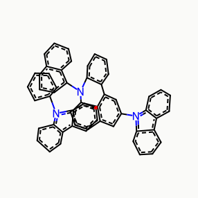 c1ccc(-n2c3ccccc3c3cccc(N(c4ccccc4-c4cc(-n5c6ccccc6c6ccccc65)cc5ccccc45)c4cccc5ccccc45)c32)cc1